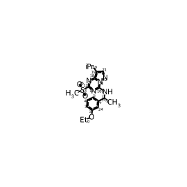 CCOc1cccc([C@H](C)Nc2nc(S(C)(=O)=O)nc3c(C(C)C)cnn23)c1